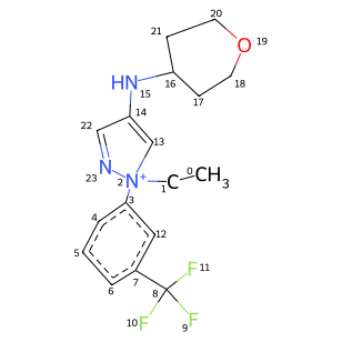 CC[N+]1(c2cccc(C(F)(F)F)c2)C=C(NC2CCOCC2)C=N1